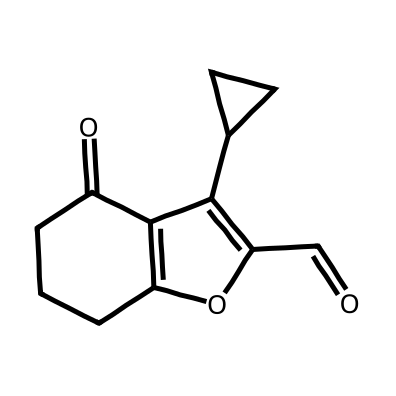 O=Cc1oc2c(c1C1CC1)C(=O)CCC2